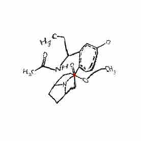 CCOC(=O)N1C2CCC1CC(c1ccc(Cl)cc1C(CC)NC(C)=O)C2